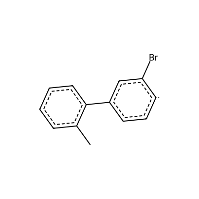 Cc1ccccc1-c1cc[c]c(Br)c1